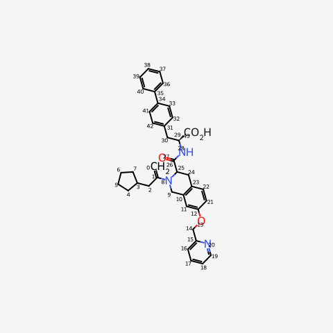 C=C(CC1CCCC1)N1Cc2cc(OCc3ccccn3)ccc2CC1C(=O)N[C@@H](Cc1ccc(-c2ccccc2)cc1)C(=O)O